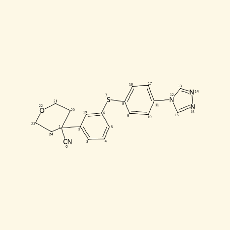 N#CC1(c2cccc(Sc3ccc(-n4cnnc4)cc3)c2)CCOCC1